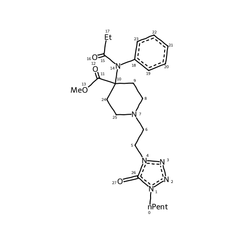 CCCCCn1nnn(CCN2CCC(C(=O)OC)(N(C(=O)CC)c3ccccc3)CC2)c1=O